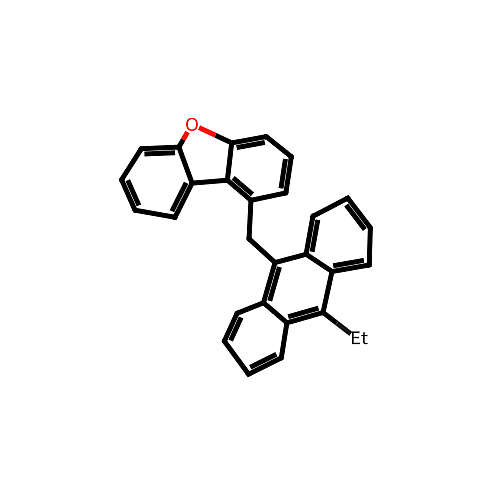 CCc1c2ccccc2c(Cc2cccc3oc4ccccc4c23)c2ccccc12